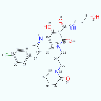 O=C(NCCCO)c1c(O)c2ncc(Cc3ccc(F)cc3)cc2n(CCCN2CCCCC2=O)c1=O